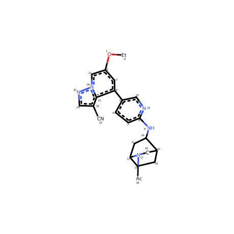 CCOc1cc(-c2ccc(NC3CC4CCC3CN4C(C)=O)nc2)c2c(C#N)cnn2c1